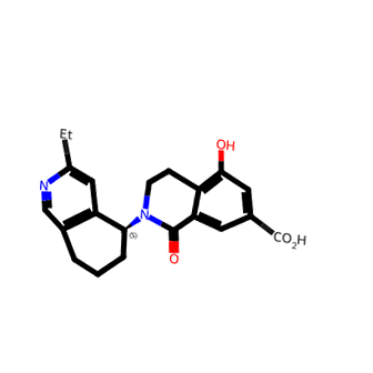 CCc1cc2c(cn1)CCC[C@@H]2N1CCc2c(O)cc(C(=O)O)cc2C1=O